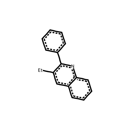 CCc1cc2ccccc2nc1-c1ccccc1